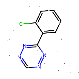 Clc1ccccc1-c1nncnn1